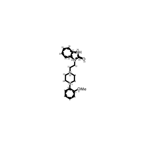 COc1ccccc1N1CCN(CCn2c(=O)[nH]c3ccccc32)CC1